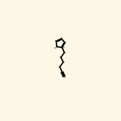 C#CCCCCC1=CC=CC1